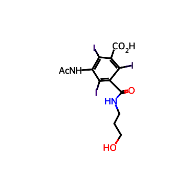 CC(=O)Nc1c(I)c(C(=O)O)c(I)c(C(=O)NCCCO)c1I